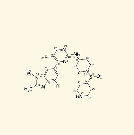 Cc1nc2c(F)cc(-c3nc(NC4CCN([S+]([O-])C5CCNCC5)CC4)ncc3F)cc2n1C(C)C